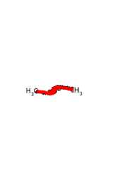 CCCCCCCCCCCCc1cc2cc3ccc4c5cc6sc(CCCCCCCCCCCC)cc6cc5ccc4c3cc2s1